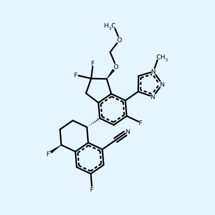 COCO[C@H]1c2c(c([C@H]3CC[C@H](F)c4cc(F)cc(C#N)c43)cc(F)c2-c2cn(C)nn2)CC1(F)F